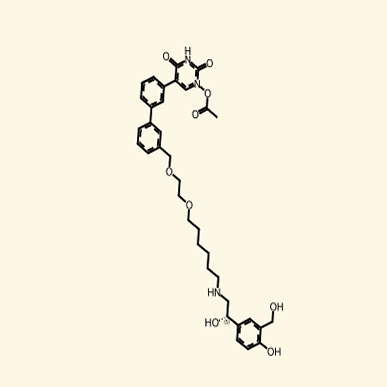 CC(=O)On1cc(-c2cccc(-c3cccc(COCCOCCCCCCNC[C@@H](O)c4ccc(O)c(CO)c4)c3)c2)c(=O)[nH]c1=O